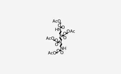 CC(=O)OCOC(=O)NCCN(CCN(CCNC(=O)OCOC(C)=O)C(=O)OCOC(C)=O)C(=O)OCOC(C)=O